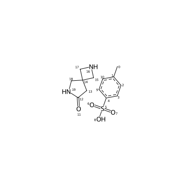 Cc1ccc(S(=O)(=O)O)cc1.O=C1CC2(CNC2)CN1